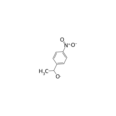 CC([O])c1ccc([N+](=O)[O-])cc1